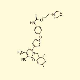 Cc1ccc(Cn2c(-c3ccc(Oc4ccc(NC(=O)OCCCN5CCOCC5)cc4)cc3)cc(C(F)(F)F)c(C#N)c2=O)c(C)c1